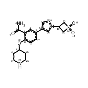 NC(=O)c1cc(-c2cnn(C3CS(=O)(=O)C3)c2)ccc1OC1CCNCC1